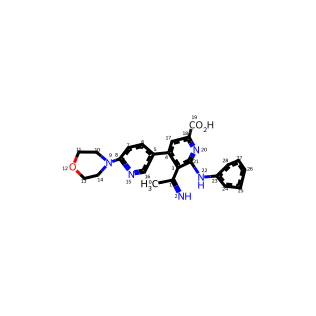 CC(=N)c1c(-c2ccc(N3CCOCC3)nc2)cc(C(=O)O)nc1Nc1ccccc1